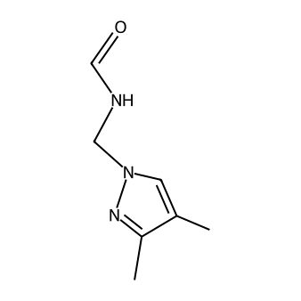 Cc1cn(CNC=O)nc1C